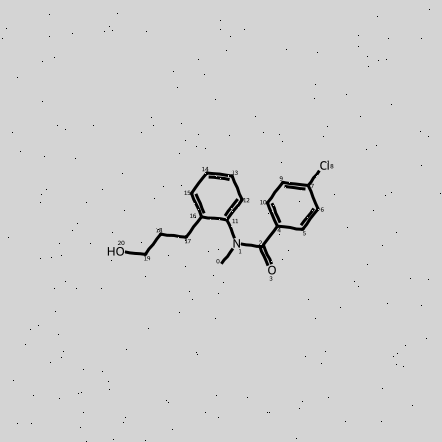 CN(C(=O)c1ccc(Cl)cc1)c1ccccc1CCCO